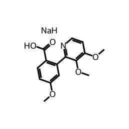 COc1ccc(C(=O)O)c(-c2nccc(OC)c2OC)c1.[NaH]